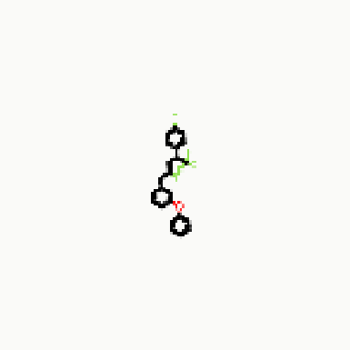 FC(=CC(c1ccc(F)cc1)C(F)(F)F)Cc1cccc(Oc2ccccc2)c1